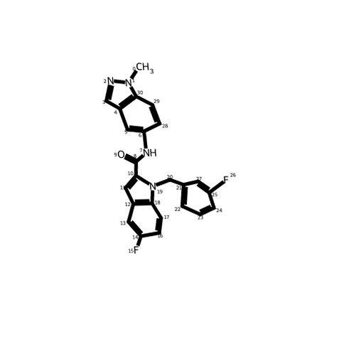 Cn1ncc2cc(NC(=O)c3cc4cc(F)ccc4n3Cc3cccc(F)c3)ccc21